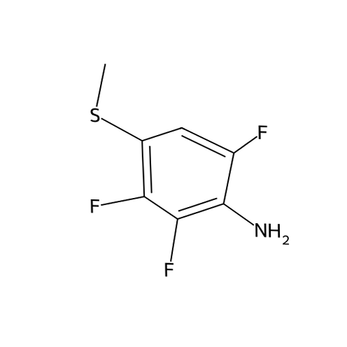 CSc1cc(F)c(N)c(F)c1F